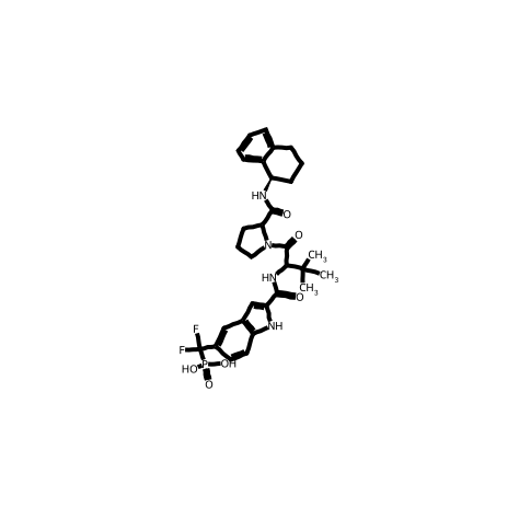 CC(C)(C)C(NC(=O)c1cc2cc(C(F)(F)P(=O)(O)O)ccc2[nH]1)C(=O)N1CCCC1C(=O)N[C@@H]1CCCc2ccccc21